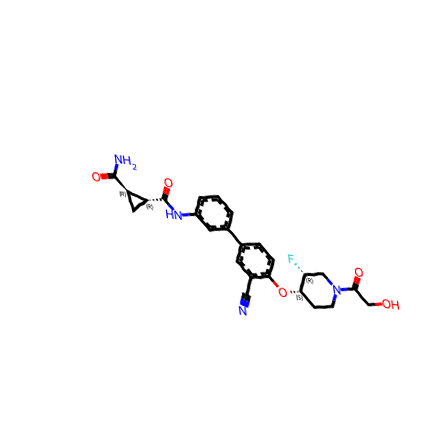 N#Cc1cc(-c2cccc(NC(=O)[C@@H]3C[C@H]3C(N)=O)c2)ccc1O[C@H]1CCN(C(=O)CO)C[C@H]1F